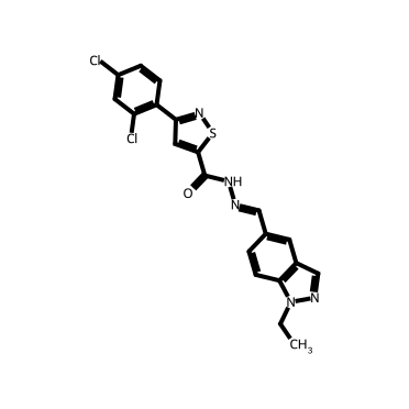 CCn1ncc2cc(/C=N/NC(=O)c3cc(-c4ccc(Cl)cc4Cl)ns3)ccc21